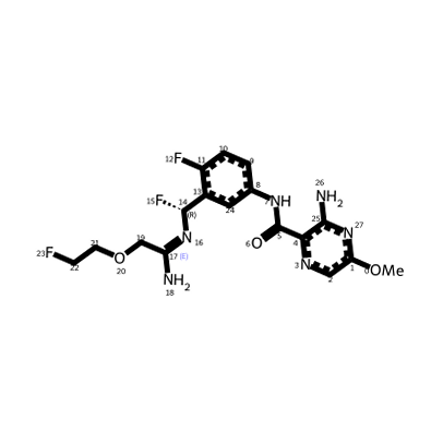 COc1cnc(C(=O)Nc2ccc(F)c([C@@H](F)/N=C(/N)COCCF)c2)c(N)n1